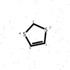 [C]1=CSCS1